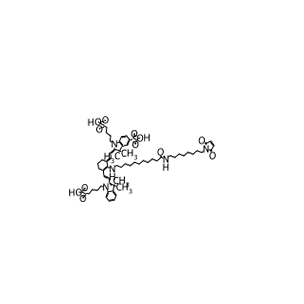 CC1(C)C(/C=C/C2=C(NCCCCCCCCCCC(=O)NCCCCCCCCN3C(=O)C=CC3=O)C(=C/C=C3/N(CCCCS(=O)(=O)O)c4ccc(S(=O)(=O)O)cc4C3(C)C)/CCC2)=[N+](CCCCS(=O)(=O)O)c2ccccc21